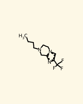 CCCCN1CCn2cc(C(F)(F)F)nc2C1